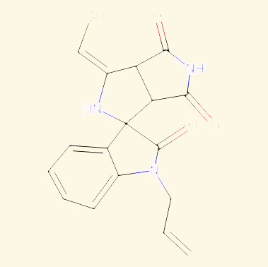 C=CCN1C(=O)C2(NC(=CS)C3C(=O)NC(=O)C32)c2ccccc21